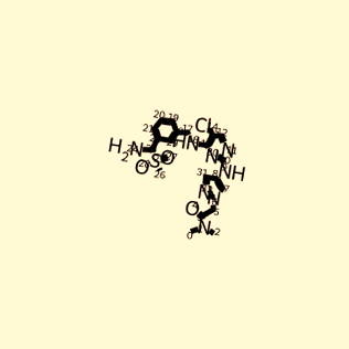 CN(C)C(=O)Cn1cc(Nc2ncc(Cl)c(NCc3cccc(C(N)S(C)(=O)=O)c3)n2)cn1